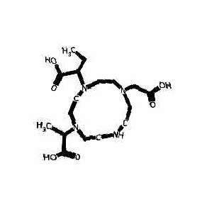 CCC(C(=O)O)N1CCN(CC(=O)O)CCNCCN(C(C)C(=O)O)CC1